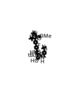 COC(=O)C[C@@H]1N=C(c2ccc(-c3ccc(C(=O)NC(C(=O)N4C[C@H](O)C[C@H]4C(=O)NC(C)c4ccc(-c5scnc5C)cc4)C(C)(C)C)cc3F)cc2)c2c(sc(C)c2C)-n2c(C)nnc21